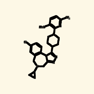 COc1ccc(C(F)(F)F)nc1N1CCC(c2nnc3n2-c2ccc(Cl)cc2CN(C2CC2)C3)CC1